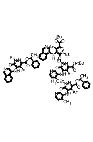 CCC(C)OC(=O)c1nn(CC)c(=O)c(Nc2cncc3ccccc23)c1C(C)=O.CCn1nc(C(=O)OC(C)(C)C)c(C(C)=O)c(Nc2cnccc2C)c1=O.CCn1nc(C(=O)OC(C)c2ccccc2)c(C(C)=O)c(Nc2cncc3ccccc23)c1=O.CCn1nc(C(=O)OC(C)c2ccccc2)c(C(C)=O)c(Nc2cnccc2C)c1=O